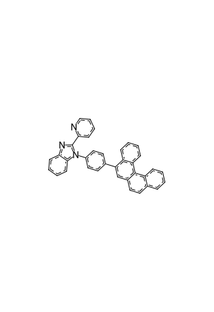 c1ccc(-c2nc3ccccc3n2-c2ccc(-c3cc4ccc5ccccc5c4c4ccccc34)cc2)nc1